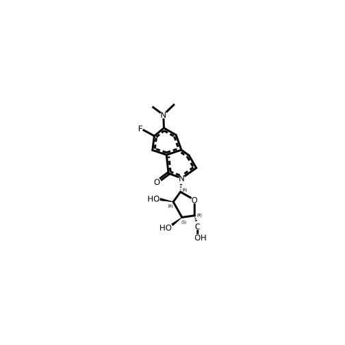 CN(C)c1cc2ccn([C@@H]3O[C@H](CO)[C@@H](O)[C@H]3O)c(=O)c2cc1F